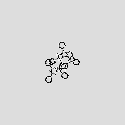 c1ccc(C2=NC(c3ccccc3)NC(C3c4ccccc4-c4cc(-n5c6ccccc6c6ccc7c(c8c(nc(-c9ccccc9)n8-c8ccccc8)n7-c7ccccc7)c65)ccc43)=N2)cc1